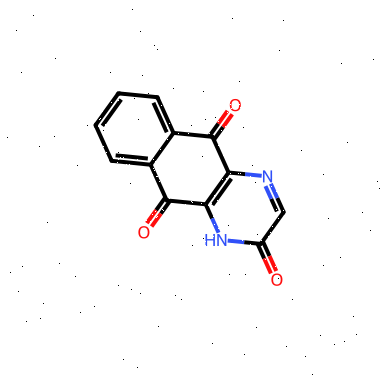 O=C1c2ccccc2C(=O)c2[nH]c(=O)cnc21